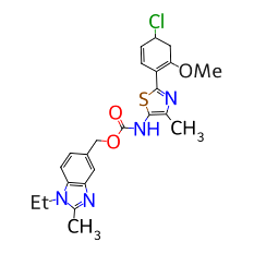 CCn1c(C)nc2cc(COC(=O)Nc3sc(C4=C(OC)CC(Cl)C=C4)nc3C)ccc21